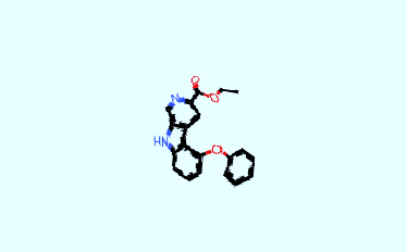 CCOC(=O)c1cc2c(cn1)[nH]c1cccc(Oc3ccccc3)c12